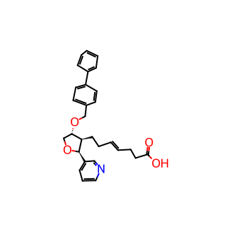 O=C(O)CCC=CCC[C@@H]1[C@@H](OCc2ccc(-c3ccccc3)cc2)CO[C@@H]1c1cccnc1